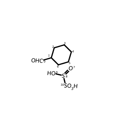 O=CC1CCCCC1.O=S(O)S(=O)(=O)O